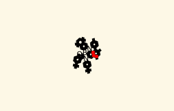 Cc1ccc(-c2ccc(C)cc2N2c3cc4c(cc3B3c5oc6ccc(C(C)(C)C)cc6c5N(c5ccc(C(C)(C)C)cc5)c5cc(C)cc2c53)C(C)(C)CCC4(C)C)c(C)c1